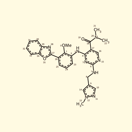 COc1c(Nc2nc(NCc3cnn(C)c3)ncc2C(=O)N(C)C)cccc1-c1nc2ccccc2o1